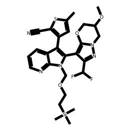 COC1COc2c(-c3c(-c4cc(C)sc4C#N)c4cccnc4n3COCC[Si](C)(C)C)c(C(F)F)nn2C1